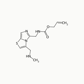 C=CCOC(=O)NCc1ncc2scc(CNC)n12